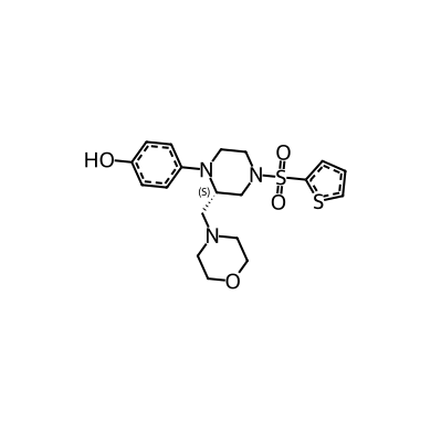 O=S(=O)(c1cccs1)N1CCN(c2ccc(O)cc2)[C@@H](CN2CCOCC2)C1